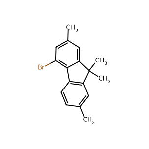 Cc1ccc2c(c1)C(C)(C)c1cc(C)cc(Br)c1-2